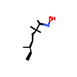 C=C/C(C)=C/CC(C)(C)/C(C)=N/O